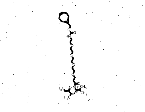 CCC(=O)C(C)C[C@@H](NC(=O)CCOCCOCCOCCOCCNC(=O)OCC1C2CCC#CCCC21)C(C)C